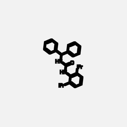 CC(C)c1cccc(C(C)C)c1NC(=O)NC(c1ccccc1)c1ccccc1